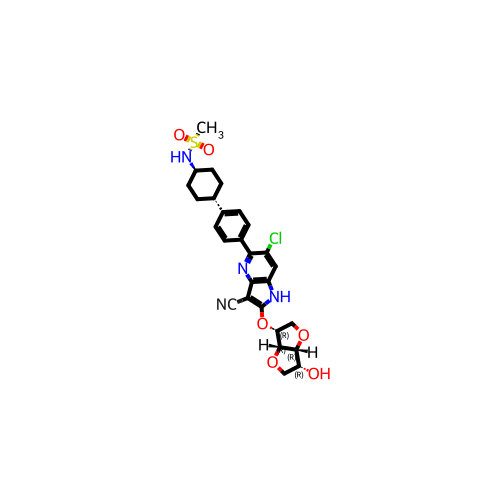 CS(=O)(=O)N[C@H]1CC[C@H](c2ccc(-c3nc4c(C#N)c(O[C@@H]5CO[C@H]6[C@@H]5OC[C@H]6O)[nH]c4cc3Cl)cc2)CC1